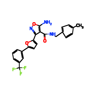 Cc1ccc(CNC(=O)c2c(-c3ccc(-c4cccc(C(F)(F)F)c4)o3)noc2N)cc1